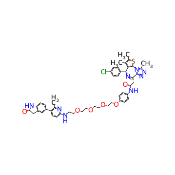 Cc1nc(NCCOCCOCCOCCOc2ccc(NC(=O)C[C@@H]3N=C(c4ccc(Cl)cc4)c4c(sc(C)c4C)-n4c(C)nnc43)cc2)ccc1-c1ccc2c(c1)CC(=O)N2